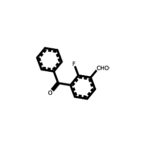 O=[C]c1cccc(C(=O)c2ccccc2)c1F